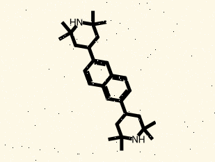 CC1(C)CC(c2ccc3cc(C4CC(C)(C)NC(C)(C)C4)ccc3c2)CC(C)(C)N1